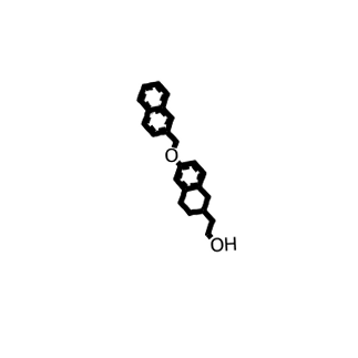 OCCC1CCc2cc(OCc3ccc4ccccc4c3)ccc2C1